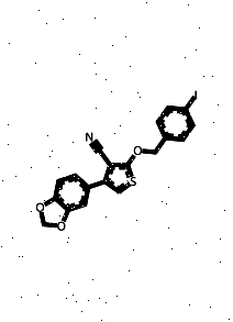 N#Cc1c(-c2ccc3c(c2)OCO3)csc1OCc1ccc(I)cc1